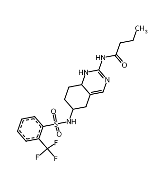 CCCC(=O)NC1=NC=C2CC(NS(=O)(=O)c3ccccc3C(F)(F)F)CCC2N1